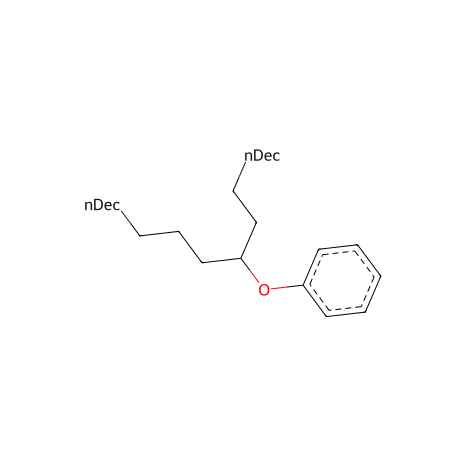 CCCCCCCCCCCCCC(CCCCCCCCCCCC)Oc1ccccc1